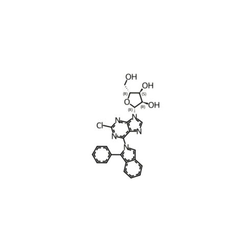 OC[C@H]1O[C@@H](n2cnc3c(-n4cc5ccccc5c4-c4ccccc4)nc(Cl)nc32)[C@H](O)[C@@H]1O